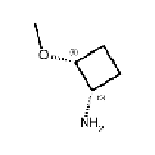 CO[C@@H]1CC[C@@H]1N